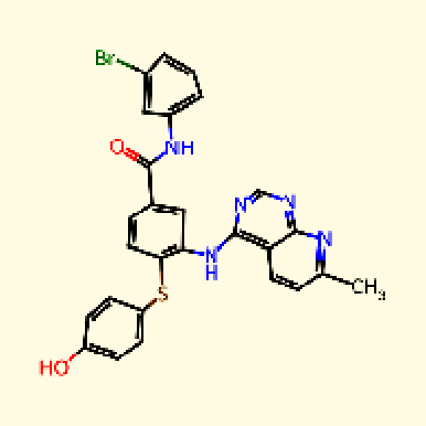 Cc1ccc2c(Nc3cc(C(=O)Nc4cccc(Br)c4)ccc3Sc3ccc(O)cc3)ncnc2n1